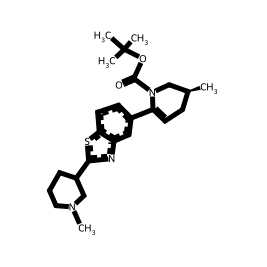 C[C@H]1CC=C(c2ccc3sc(C4CCCN(C)C4)nc3c2)N(C(=O)OC(C)(C)C)C1